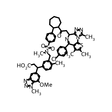 COc1cc(C(CC(=O)O)c2ccc(C)c(CN(C)S(=O)(=O)c3ccc(C4CCCCCC4C(=O)CC4N=C(c5ccc(Cl)cc5)c5c(sc(C)c5C)-n5c(C)nnc54)cc3)c2)cc2nnn(C)c12